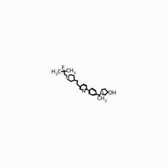 C=C(c1ccc(-c2ccc(CCC3CCN(CC(C)(C)F)CC3)cn2)cc1)N1CCC(O)C1